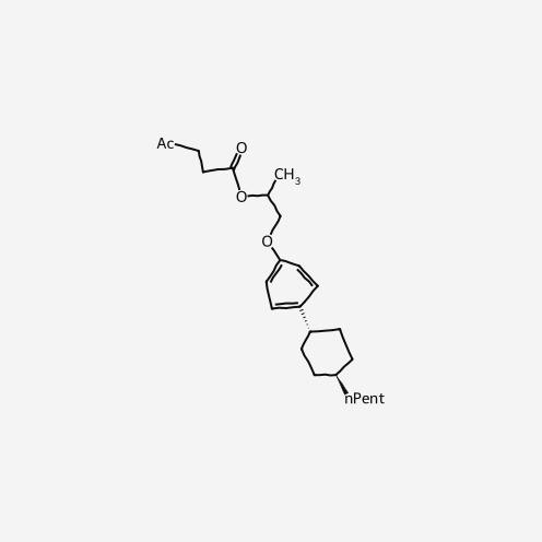 CCCCC[C@H]1CC[C@H](c2ccc(OCC(C)OC(=O)CCC(C)=O)cc2)CC1